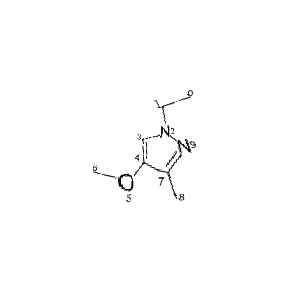 CCn1cc(OC)c(C)n1